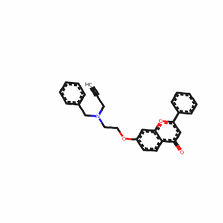 C#CCN(CCOc1ccc2c(=O)cc(-c3ccccc3)oc2c1)Cc1ccccc1